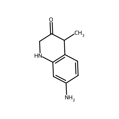 CC1C(=O)CNc2cc(N)ccc21